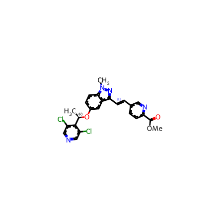 COC(=O)c1ccc(/C=C/c2nn(C)c3ccc(O[C@H](C)c4c(Cl)cncc4Cl)cc23)cn1